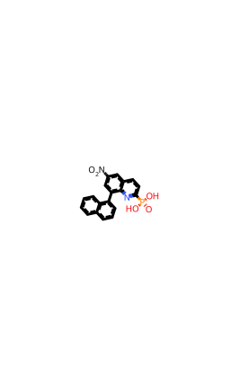 O=[N+]([O-])c1cc(-c2cccc3ccccc23)c2nc(P(=O)(O)O)ccc2c1